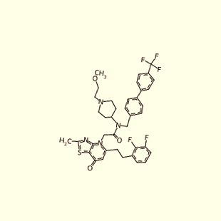 COCCN1CCC(N(Cc2ccc(-c3ccc(C(F)(F)F)cc3)cc2)C(=O)Cn2c(CCc3cccc(F)c3F)cc(=O)c3sc(C)nc32)CC1